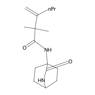 C=C(CCC)C(C)(C)C(=O)NC12CCC(CC1)NC2=O